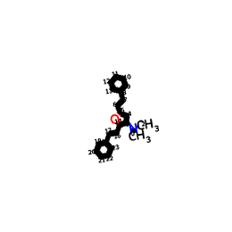 CN(C)c1cc(C=Cc2ccccc2)oc1C=Cc1ccccc1